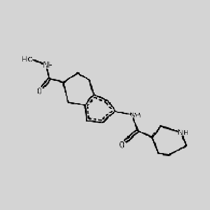 O=C(NO)C1CCc2cc(NC(=O)C3CCCNC3)ccc2C1